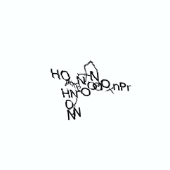 CCCC(C)(C)OC(=O)N1CCCC12CN([C@H](C(=O)NCc1nnco1)[C@@H](C)O)C2=O